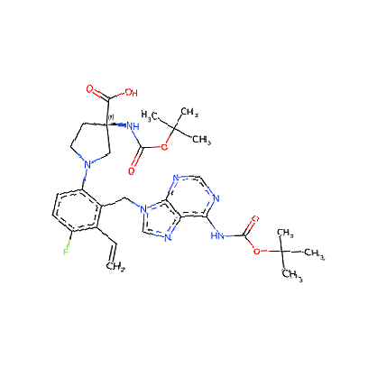 C=Cc1c(F)ccc(N2CC[C@](NC(=O)OC(C)(C)C)(C(=O)O)C2)c1Cn1cnc2c(NC(=O)OC(C)(C)C)ncnc21